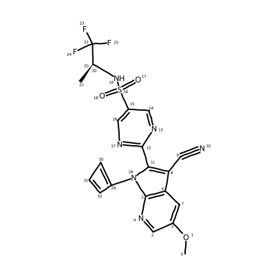 COc1cnc2c(c1)c(C#N)c(-c1ncc(S(=O)(=O)N[C@@H](C)C(F)(F)F)cn1)n2C1=CC=C1